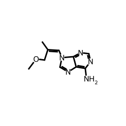 COCC(C)=Cn1cnc2c(N)ncnc21